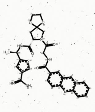 C[C@@H](NC(=O)[C@@H]1CC2(CN1C(=O)CNC(=O)c1ccc3nc4ccccc4cc3c1)OCCO2)c1cc(C(=N)N)cs1